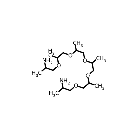 CC(N)COCC(C)OCC(C)OCC(C)OCC(C)OCC(C)N